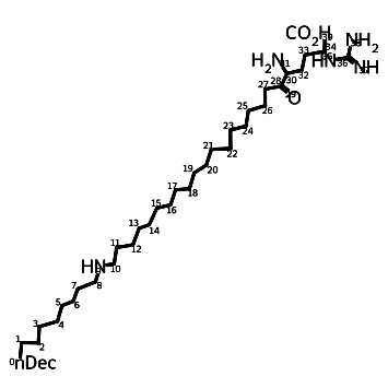 CCCCCCCCCCCCCCCCCCNCCCCCCCCCCCCCCCCCCC(=O)C(N)CCC(NC(=N)N)C(=O)O